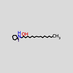 CCCCCCCCCCCCCCC(O)CNC1(I)CCCCC1